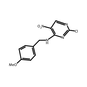 COc1ccc(CNc2nc(Cl)ncc2[N+](=O)[O-])cc1